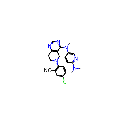 CN(C)c1ccc(N(C)c2ncnc3c2CN(c2ccc(Cl)cc2C#N)CC3)cn1